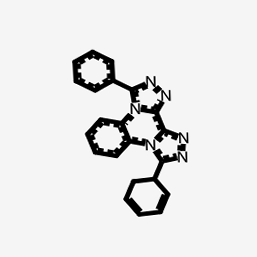 C1=CCC(c2nnc3c4nnc(-c5ccccc5)n4c4ccccc4n23)C=C1